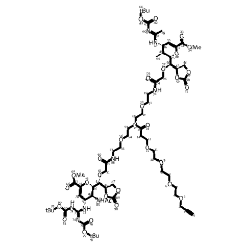 C#CCOCCOCCOCCOCCC(=O)N(CCOCCNC(=O)CO[C@@H]([C@H]1OC(C(=O)OC)=C[C@@H](N/C(C)=N/C(=O)OC(C)(C)C)[C@@H]1C)[C@H]1COC(=O)O1)CCOCCNC(=O)CO[C@@H]([C@H]1OC(C(=O)OC)=C[C@@H](N/C(=N\C(=O)OC(C)(C)C)NC(=O)OC(C)(C)C)[C@@H]1NC(C)=O)[C@H]1COC(=O)O1